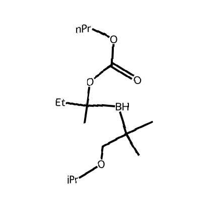 CCCOC(=O)OC(C)(BC(C)(C)COC(C)C)CC